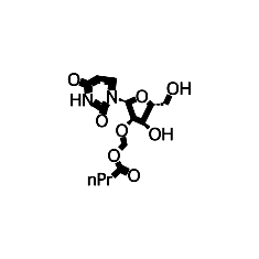 CCCC(=O)OCO[C@@H]1[C@H](O)[C@@H](CO)O[C@H]1n1ccc(=O)[nH]c1=O